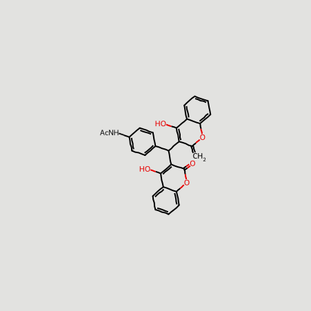 C=C1Oc2ccccc2C(O)=C1C(c1ccc(NC(C)=O)cc1)c1c(O)c2ccccc2oc1=O